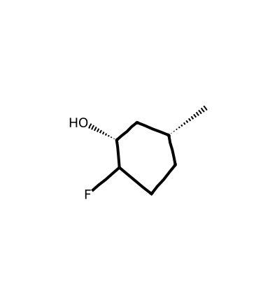 C[C@@H]1CCC(F)[C@H](O)C1